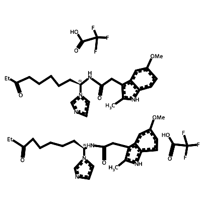 CCC(=O)CCCCC[C@@H](NC(=O)Cc1c(C)[nH]c2ccc(OC)cc12)n1ccnc1.CCC(=O)CCCCC[C@@H](NC(=O)Cc1c(C)[nH]c2ccc(OC)cc12)n1ccnc1.O=C(O)C(F)(F)F.O=C(O)C(F)(F)F